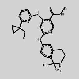 CC(C)NC(=O)c1cnc(Nc2ccc3c(c2)CCNC3(C)C)nc1Nc1ccnc(C2(CF)CC2)c1